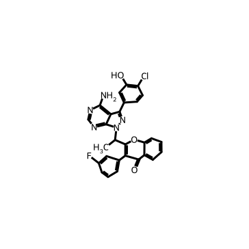 CC(c1oc2ccccc2c(=O)c1-c1cccc(F)c1)n1nc(-c2ccc(Cl)c(O)c2)c2c(N)ncnc21